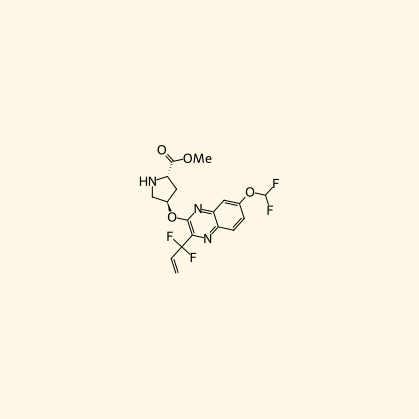 C=CC(F)(F)c1nc2ccc(OC(F)F)cc2nc1O[C@H]1CN[C@H](C(=O)OC)C1